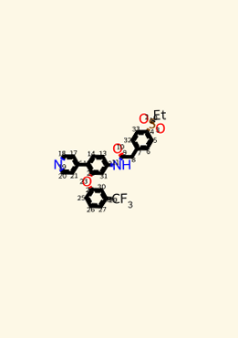 CCS(=O)(=O)c1ccc(CC(=O)Nc2ccc(-c3ccncc3)c(Oc3cccc(C(F)(F)F)c3)c2)cc1